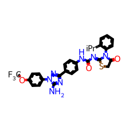 CC(C)c1ccccc1N1C(=O)CSC1=NC(=O)Nc1ccc(-c2nc(N)n(-c3ccc(OC(F)(F)F)cc3)n2)cc1